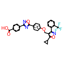 O=C(O)c1ccc(-c2noc(C34CCC(OCc5c(-c6ccccc6C(F)(F)F)noc5C5CC5)(CC3)CC4)n2)cc1